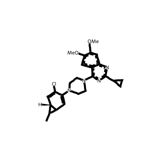 COc1cc2nc(C3CC3)nc(N3CCN(C4=CC5C(C)[C@@H]5C=C4Cl)CC3)c2cc1OC